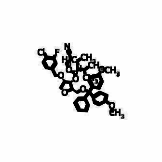 COc1ccc(C(OC[C@H]2OC[C@H](OCc3ccc(Cl)c(F)c3)[C@@H]2OP(OCCC#N)N(C(C)C)C(C)C)(c2ccccc2)c2ccc(OC)cc2)cc1